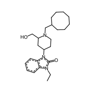 CCn1c(=O)n(C2CCN(CC3CCCCCCC3)C(CO)C2)c2ccccc21